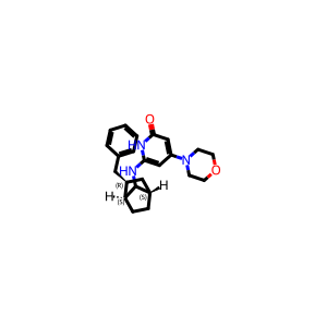 O=c1cc(N2CCOCC2)cc(NC2[C@H]3CC[C@H]2[C@@H](Cc2ccccc2)C3)[nH]1